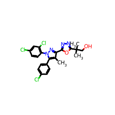 Cc1c(-c2nnc(C(C)(C)CO)o2)nn(-c2ccc(Cl)cc2Cl)c1-c1ccc(Cl)cc1